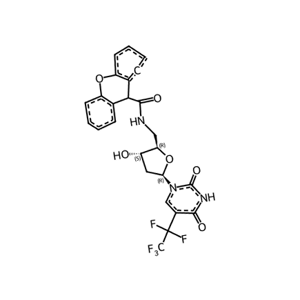 O=C(NC[C@H]1O[C@@H](n2cc(C(F)(F)C(F)(F)F)c(=O)[nH]c2=O)C[C@@H]1O)C1c2ccccc2Oc2ccccc21